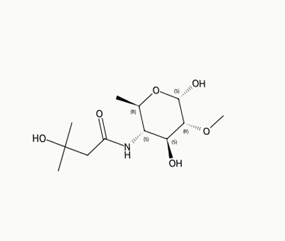 CO[C@@H]1[C@@H](O)[C@H](NC(=O)CC(C)(C)O)[C@@H](C)O[C@@H]1O